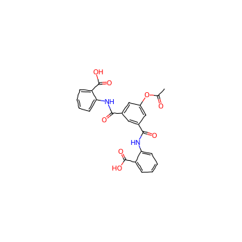 CC(=O)Oc1cc(C(=O)Nc2ccccc2C(=O)O)cc(C(=O)Nc2ccccc2C(=O)O)c1